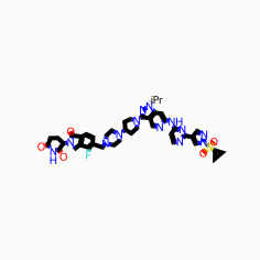 CC(C)n1nc(N2CCC(N3CCN(Cc4ccc5c(c4F)CN(C4CCC(=O)NC4=O)C5=O)CC3)CC2)c2cnc(Nc3ccnc(-c4cnn(S(=O)(=O)C5CC5)c4)n3)cc21